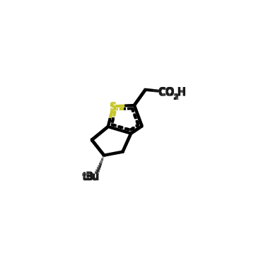 CC(C)(C)[C@H]1Cc2cc(CC(=O)O)sc2C1